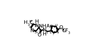 CC(=O)NC1(C(=O)NCc2ccc(OC(F)(F)F)cc2)C=NC=C(C)N1